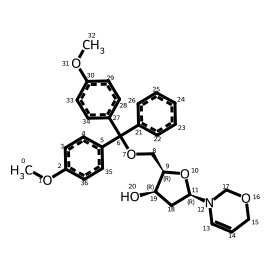 COc1ccc(C(OC[C@H]2O[C@@H](N3C=CCOC3)C[C@H]2O)(c2ccccc2)c2ccc(OC)cc2)cc1